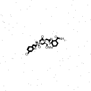 COC[C@H]1CN(S(=O)(=O)c2cc3ccc(Cl)cc3s2)CC(=O)N1Cc1nc2c(s1)CCCC2C(N)=O